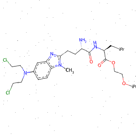 CC(C)C[C@H](NC(=O)[C@@H](N)CCc1nc2cc(N(CCCl)CCCl)ccc2n1C)C(=O)OCCOC(C)C